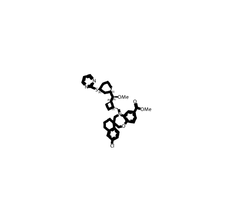 COC(=O)c1ccc2c(c1)N(C[C@@H]1CC[C@H]1[C@H](OC)[C@H]1CCC[C@@H](Sc3ncccn3)C1)CC1(CCCc3cc(Cl)ccc31)CO2